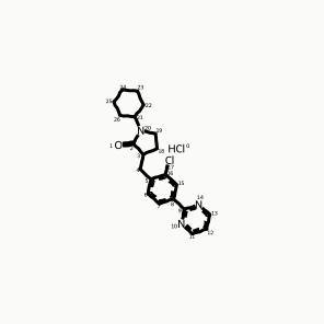 Cl.O=C1C(Cc2ccc(-c3ncccn3)cc2Cl)CCN1C1CCCCC1